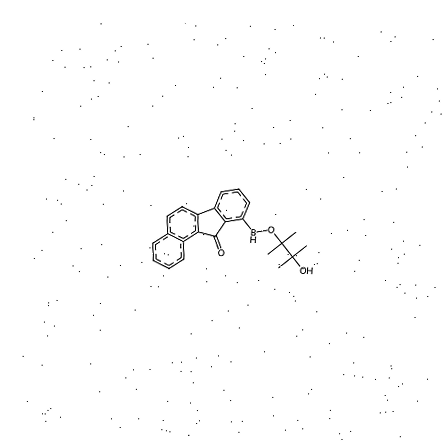 CC(C)(O)C(C)(C)OBc1cccc2c1C(=O)c1c-2ccc2ccccc12